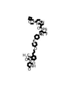 Cn1c(=O)n(C2CCC(=O)NC2=O)c2cccc(CCCOC3CCN(C[C@H]4CC[C@H](n5cc(NC(=O)c6cnn7ccc(N8CCOC9(CCC9)C8)nc67)c(C(F)F)n5)CC4)CC3)c21